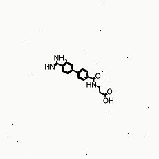 N=C(N)c1ccc(-c2ccc(C(=O)NCCC(=O)O)cc2)cc1